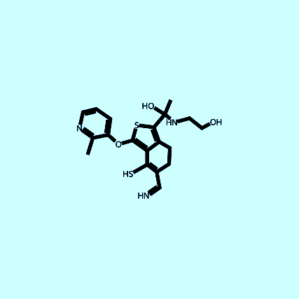 Cc1ncccc1Oc1sc(C(C)(O)NCCO)c2c1C(S)=C(C=N)CC2